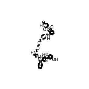 CC1(NCCOCCOCCN2CCN(CNc3cccc4c3CN(C3CCC(=O)NC3=O)C4=O)CC2)CN(c2nc(N3CC4CCC(C3)N4)c3cnc(-c4cc(O)ccc4O)c(O)c3n2)C1